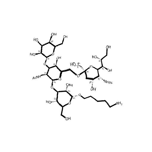 CC(=O)N[C@H]1C(O[C@@H]2OC(CO)[C@H](O)C(O)[C@@H]2O)[C@@H](O)C(CO[C@]2(C(=O)O)C[C@@H](O)[C@@H](NC(C)=O)C([C@H](O)[C@H](O)CO)O2)O[C@H]1OC1[C@@H](O)C(CO)O[C@@H](OCCCCCN)[C@H]1O